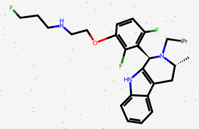 CC(C)CN1[C@H](c2c(F)ccc(OCCNCCCF)c2F)c2[nH]c3ccccc3c2C[C@H]1C